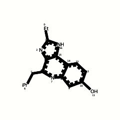 CCc1nc2c(CC(C)C)nc3cc(O)ccc3c2[nH]1